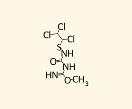 COC(=N)NC(=O)NSC(Cl)C(Cl)Cl